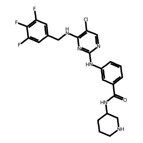 O=C(NC1CCCNC1)c1cccc(Nc2ncc(Cl)c(NCc3cc(F)c(F)c(F)c3)n2)c1